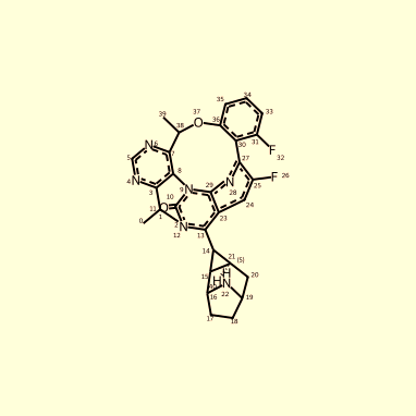 CC(C)c1ncnc2c1-n1c(=O)nc(C3C4C5CCC(C[C@H]34)N5)c3cc(F)c(nc31)-c1c(F)cccc1OC2C